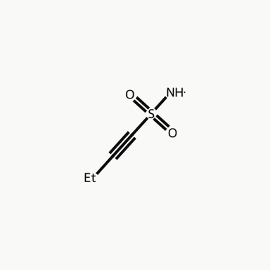 CCC#CS([NH])(=O)=O